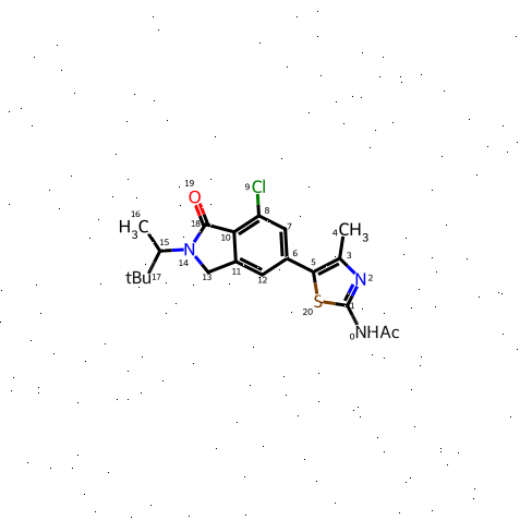 CC(=O)Nc1nc(C)c(-c2cc(Cl)c3c(c2)CN(C(C)C(C)(C)C)C3=O)s1